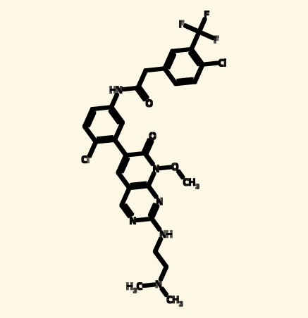 COn1c(=O)c(-c2cc(NC(=O)Cc3ccc(Cl)c(C(F)(F)F)c3)ccc2Cl)cc2cnc(NCCN(C)C)nc21